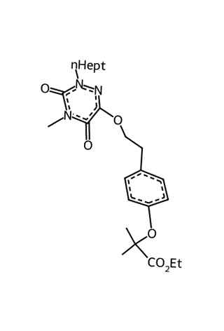 CCCCCCCn1nc(OCCc2ccc(OC(C)(C)C(=O)OCC)cc2)c(=O)n(C)c1=O